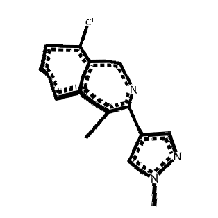 Cc1c(-c2cnn(C)c2)ncc2c(Cl)cccc12